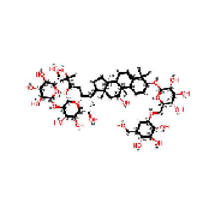 C[C@H](CC[C@@H](O[C@@H]1O[C@H](CO)[C@@H](O)[C@H](O)[C@H]1O[C@H]1O[C@@H](CO)[C@H](O)[C@@H](O)[C@@H]1O)C(C)(C)O)C1CC[C@@]2(C)C3CC=C4C(CC[C@H](O[C@@H]5O[C@H](CO[C@@H]6C[C@H](CO)[C@@H](O)[C@H](O)[C@H]6O)[C@@H](O)[C@H](O)[C@H]5O)C4(C)C)[C@]3(C)[C@H](O)C[C@]12C